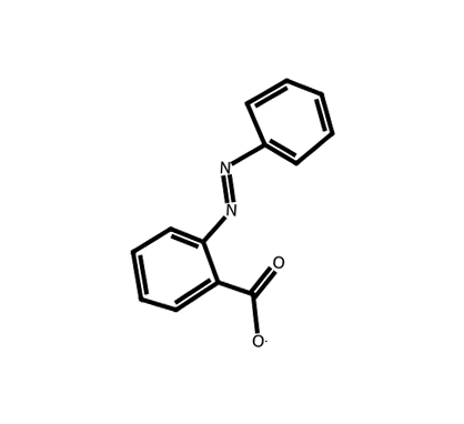 [O]C(=O)c1ccccc1/N=N/c1ccccc1